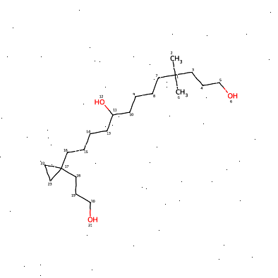 CC(C)(CCCO)CCCCC(O)CCCCC1(CCCO)CC1